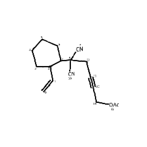 C=CC1CCCCC1C(C#N)(C#N)CC#CCOC(C)=O